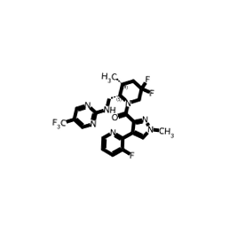 C[C@@H]1CC(F)(F)CN(C(=O)c2nn(C)cc2-c2ncccc2F)[C@@H]1CNc1ncc(C(F)(F)F)cn1